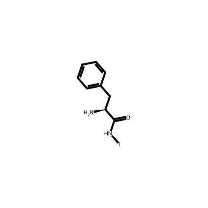 N[C@@H](Cc1ccccc1)C(=O)NI